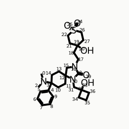 CN(C)C1(c2ccccc2)CCC2(CC1)CN(CCC1(O)CCS(=O)(=O)CC1)C(=O)N2CC1(O)CCC1